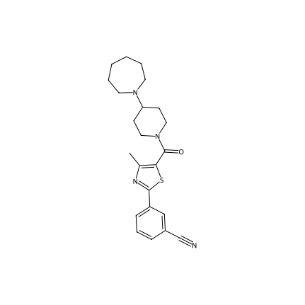 Cc1nc(-c2cccc(C#N)c2)sc1C(=O)N1CCC(N2CCCCCC2)CC1